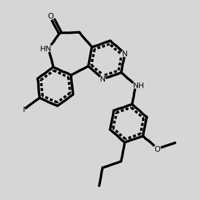 CCCc1ccc(Nc2ncc3c(n2)-c2ccc(I)cc2NC(=O)C3)cc1OC